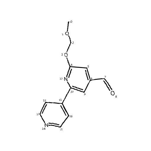 COCOc1cc(C=O)cc(-c2ccncc2)n1